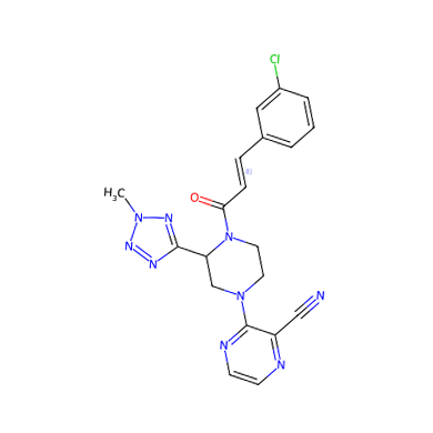 Cn1nnc(C2CN(c3nccnc3C#N)CCN2C(=O)/C=C/c2cccc(Cl)c2)n1